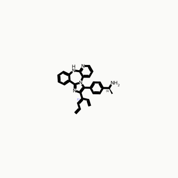 C=C/C=C(\C=C)c1nc2n(c1-c1ccc([C@H](C)N)cc1)-c1cccnc1Nc1ccccc1-2